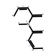 C=C(/C=C\C)N(C)C(=C)/C=C\C